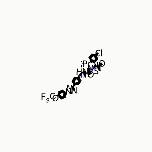 CC(C)c1ccc(Cl)cc1N1C(=O)CS/C1=N\C(=O)N/N=C/c1ccc(-c2ncn(-c3ccc(OC(F)(F)F)cc3)n2)cc1